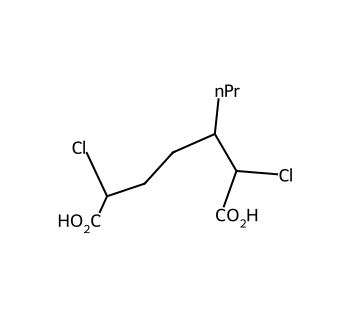 CCCC(CCC(Cl)C(=O)O)C(Cl)C(=O)O